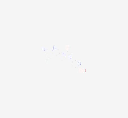 N#Cc1ncc(N2C(=O)C3(CCC3)N(c3ccc(O)nc3)C2=S)cc1C(F)(F)F